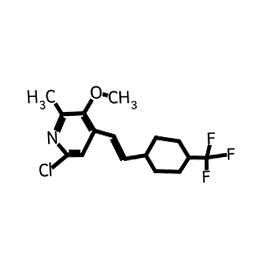 COc1c(/C=C/C2CCC(C(F)(F)F)CC2)cc(Cl)nc1C